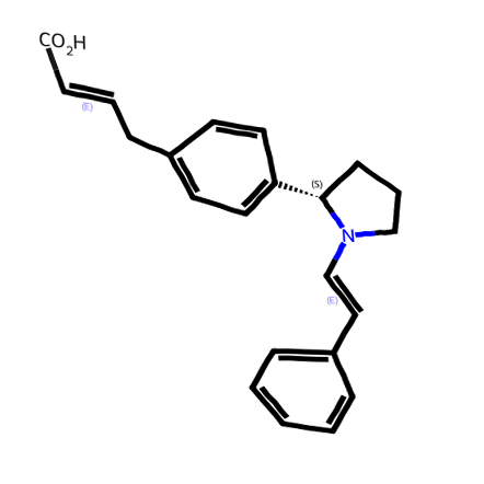 O=C(O)/C=C/Cc1ccc([C@@H]2CCCN2/C=C/c2ccccc2)cc1